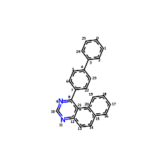 c1ccc(-c2ccc(-c3ncnc4ccc5ccccc5c34)cc2)cc1